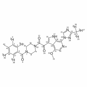 [2H]c1c([2H])c(C(=O)N2CCN(C(=O)C(=O)c3c[nH]c4c(-n5cnc(C([2H])([2H])[2H])n5)ncc(OC)c34)CC2)c([2H])c([2H])c1C